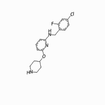 Fc1cc(Cl)ccc1CNc1cccc(OC2CCNCC2)n1